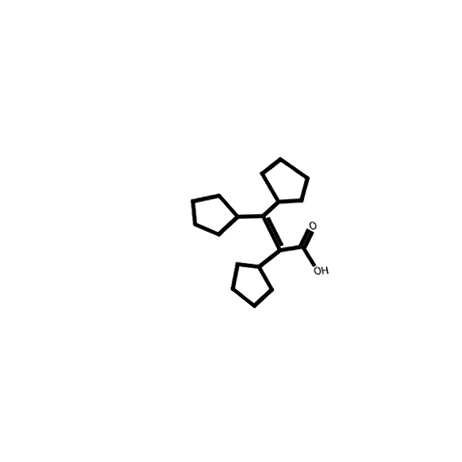 O=C(O)C(=C(C1CCCC1)C1CCCC1)C1CCCC1